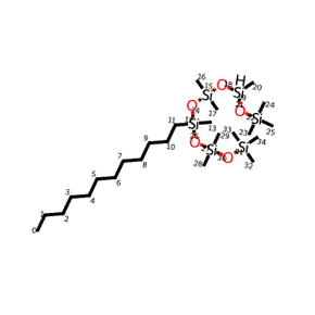 CCCCCCCCCCCC[Si](C)(O[Si](C)(C)O[SiH](C)O[Si](C)(C)C)O[Si](C)(C)O[Si](C)(C)C